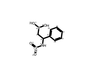 O=[SH](=O)NC(CB(O)O)c1ccccc1